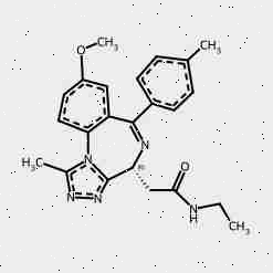 CCNC(=O)C[C@H]1N=C(c2ccc(C)cc2)c2cc(OC)ccc2-n2c(C)nnc21